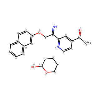 COC(=O)c1ccnc(C(=N)COc2ccc3ccccc3c2)c1.OC1CCCCO1